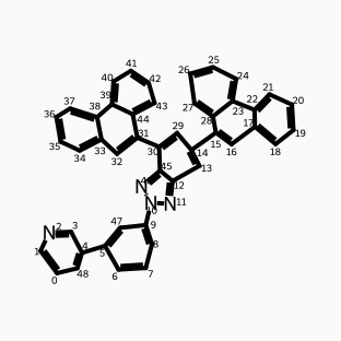 c1cncc(-c2cccc(-n3nc4cc(-c5cc6ccccc6c6ccccc56)cc(-c5cc6ccccc6c6ccccc56)c4n3)c2)c1